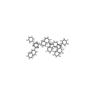 c1ccc(-c2nc(-c3ccc4ccccc4c3)nc(-c3ccc4c(-n5c6ccccc6c6c7c8c9ccccc9ccc8n(-c8ccccc8)c7ccc65)cccc4c3)n2)cc1